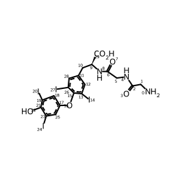 NCC(=O)NCC(=O)N[C@@H](Cc1cc(I)c(Oc2cc(I)c(O)c(I)c2)c(I)c1)C(=O)O